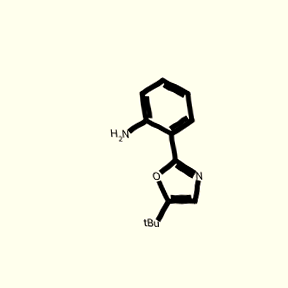 CC(C)(C)c1cnc(-c2ccccc2N)o1